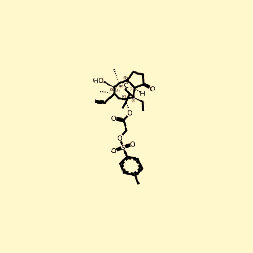 C=C[C@]1(C)C[C@@H](OC(=O)COS(=O)(=O)c2ccc(C)cc2)[C@]2(CC)C(C)CC[C@]3(CCC(=O)[C@H]32)[C@@H](C)[C@@H]1O